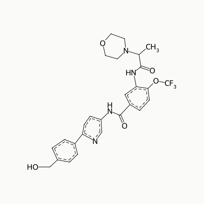 CC(C(=O)Nc1cc(C(=O)Nc2ccc(-c3ccc(CO)cc3)nc2)ccc1OC(F)(F)F)N1CCOCC1